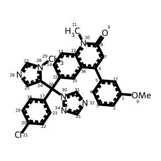 COc1cccc(-c2cc(=O)n(C)c3ccc(C(c4ccc(Cl)cc4)(c4cncn4C)n4cncn4)cc23)c1